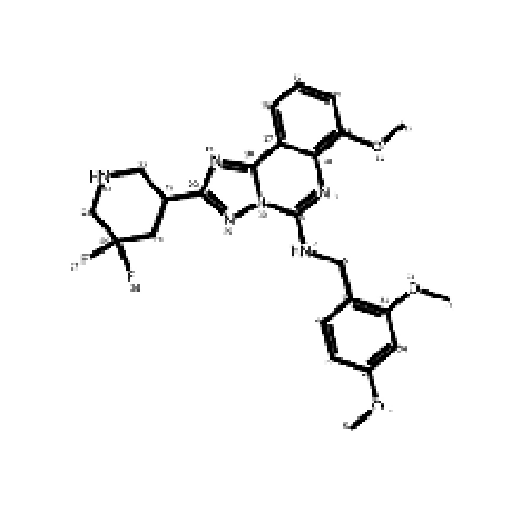 COc1ccc(CNc2nc3c(OC)cccc3c3nc(C4CNCC(F)(F)C4)nn23)c(OC)c1